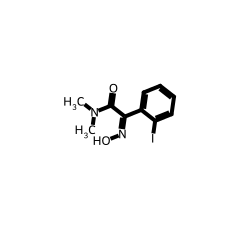 CN(C)C(=O)C(=NO)c1ccccc1I